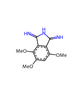 COc1cc(OC)c2c(c1OC)C(=N)NC2=N